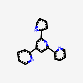 c1ccc(-c2cc(-c3ccccn3)nc(-c3ccccn3)c2)nc1